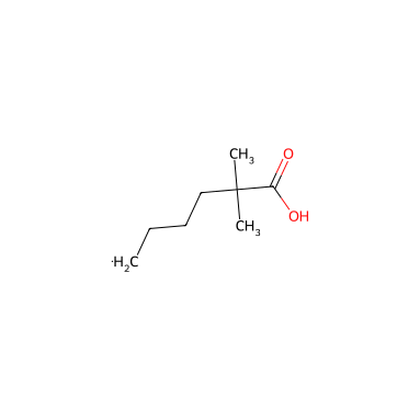 [CH2]CCCC(C)(C)C(=O)O